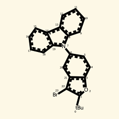 CC(C)(C)c1oc2ccc(-n3c4ccccc4c4ccccc43)cc2c1Br